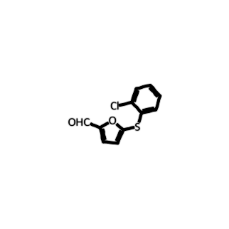 O=Cc1ccc(Sc2ccccc2Cl)o1